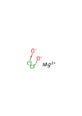 [Mg+2].[O-]Cl.[O-]Cl